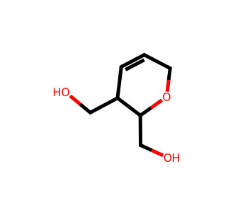 OCC1C=CCOC1CO